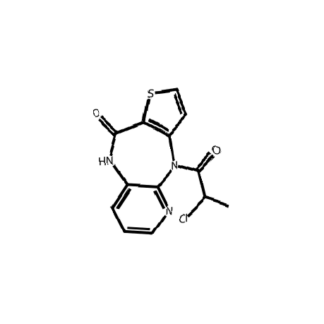 CC(Cl)C(=O)N1c2ccsc2C(=O)Nc2cccnc21